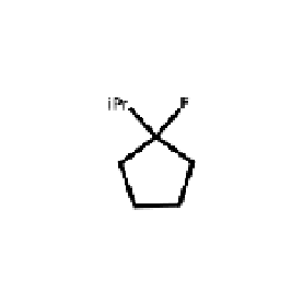 CC(C)C1(F)CCCC1